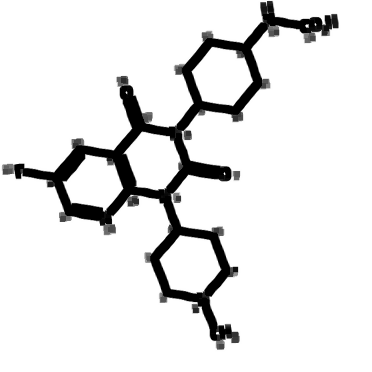 CN1CCC(n2c(=O)n(C3CCC(NC(=O)O)CC3)c(=O)c3cc(F)cnc32)CC1